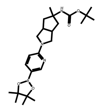 CC1(NC(=O)OC(C)(C)C)CC2CN(c3ccc(B4OC(C)(C)C(C)(C)O4)cn3)CC2C1